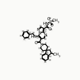 CC1CC2(CCN(C(=O)c3cnc4c(C(=O)NS(C)(=O)=O)cnn4c3NCc3ccccc3)CC2)c2ccccc21